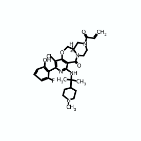 C=CC(=O)N1CCN2C(=O)c3c(NC(C)(C)C4CCN(C)CC4)nc(-c4c(O)cccc4F)c(Cl)c3OC[C@H]2C1